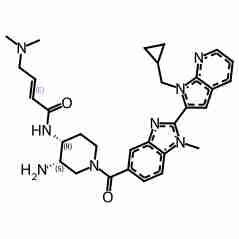 CN(C)C/C=C/C(=O)N[C@@H]1CCN(C(=O)c2ccc3c(c2)nc(-c2cc4cccnc4n2CC2CC2)n3C)C[C@@H]1N